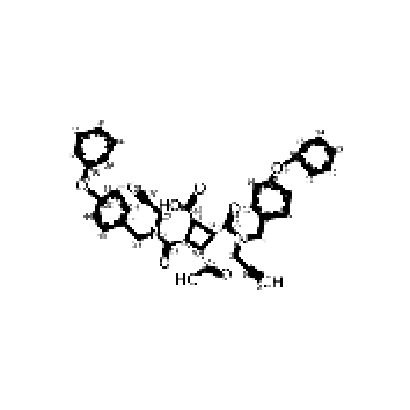 C#CCN(Cc1ccc(Oc2ccccc2)cc1)C(=O)[C@H]1[C@H](C(=O)O)[C@H](C(=O)N(CC#C)Cc2ccc(Oc3ccccc3)cc2)[C@H]1C(=O)O